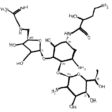 C[C@@H](O)C1O[C@H](O[C@@H]2C(N)C[C@@H](NC(=O)C(O)CCN)C(O)C2O[C@@H]2O[C@H](CNC(=N)N)C(O)C2O)C(N)C(O)[C@@H]1O